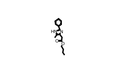 CCCCOC(=O)Cc1nc(-c2ccccc2)[nH]c1C